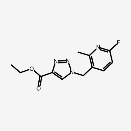 CCOC(=O)c1cn(Cc2ccc(F)nc2C)nn1